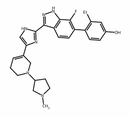 CCc1cc(O)ccc1-c1ccc2c(-c3nc(C4=CCCN(C5CCN(C)C5)C4)c[nH]3)n[nH]c2c1F